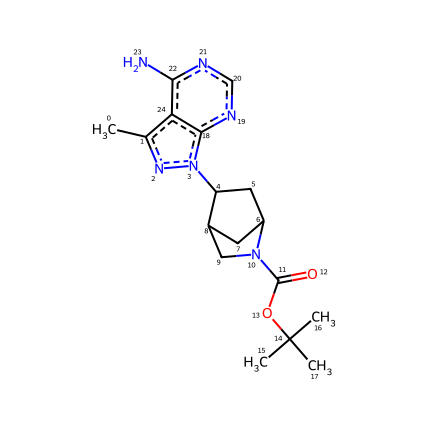 Cc1nn(C2CC3CC2CN3C(=O)OC(C)(C)C)c2ncnc(N)c12